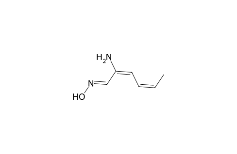 C\C=C/C=C(N)\C=N\O